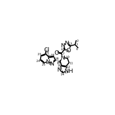 CC(C)c1nnc(C(=O)N2CCc3[nH]cnc3[C@@H]2c2cc3c(Cl)cccn3n2)o1